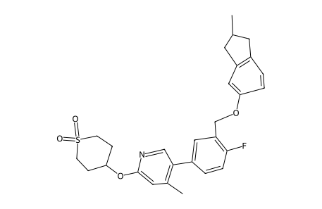 Cc1cc(OC2CCS(=O)(=O)CC2)ncc1-c1ccc(F)c(COc2ccc3c(c2)CC(C)C3)c1